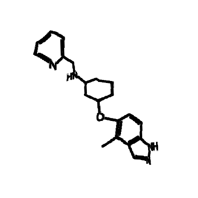 Cc1c(OC2CCCC(NCc3ccccn3)C2)ccc2[nH]ncc12